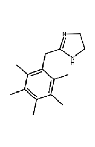 Cc1c(C)c(C)c(CC2=NCCN2)c(C)c1C